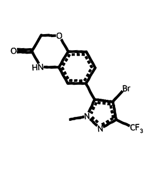 Cn1nc(C(F)(F)F)c(Br)c1-c1ccc2c(c1)NC(=O)CO2